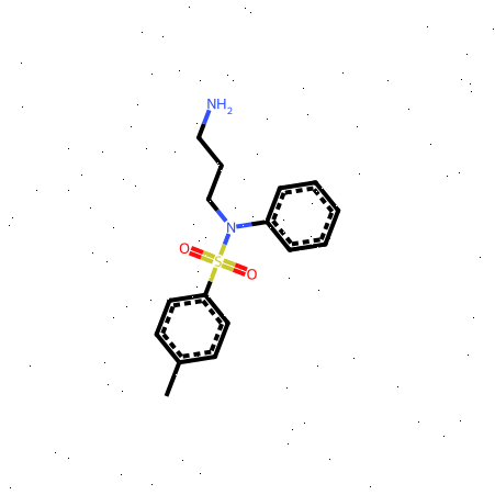 Cc1ccc(S(=O)(=O)N(CCCN)c2ccccc2)cc1